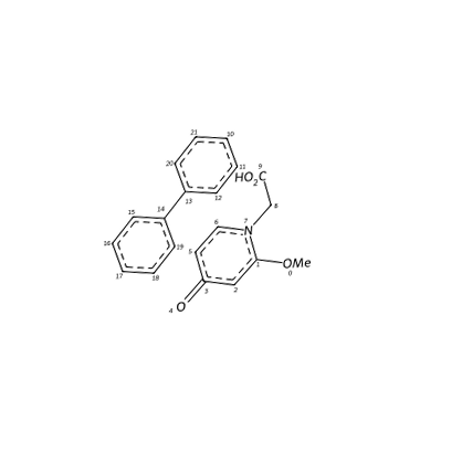 COc1cc(=O)ccn1CC(=O)O.c1ccc(-c2ccccc2)cc1